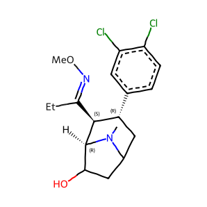 CCC(=NOC)[C@H]1[C@H](c2ccc(Cl)c(Cl)c2)CC2CC(O)[C@@H]1N2C